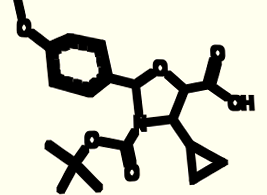 COc1ccc(C2OC(C(=O)O)C(C3CC3)N2C(=O)OC(C)(C)C)cc1